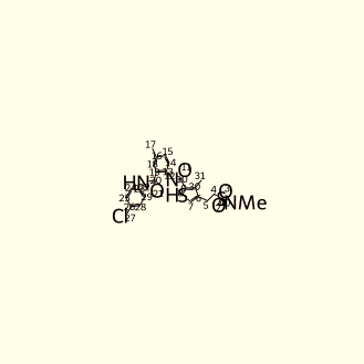 CNS(=O)(=O)CCc1csc(C(=O)Nc2ccc(C)cc2C(=O)Nc2ccc(Cl)cc2)c1C